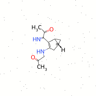 CC(=O)CNC1=C(C(=N)C(C)=O)C2C[C@@H]2C1